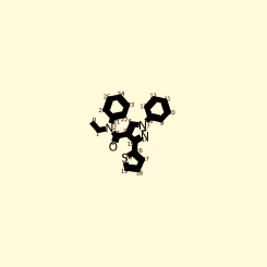 CCN(C(=O)c1cn(-c2ccccc2)nc1-c1cccs1)c1ccccc1